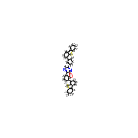 c1cc(-c2cnc3c(n2)oc2c(-c4cccc5c4sc4ccccc45)cccc23)cc(-c2cccc3c2sc2ccccc23)c1